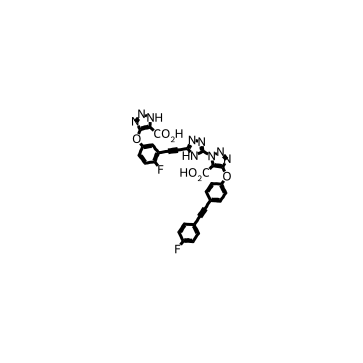 O=C(O)c1[nH]nnc1Oc1ccc(F)c(C#Cc2nnc(-n3nnc(Oc4ccc(C#Cc5ccc(F)cc5)cc4)c3C(=O)O)[nH]2)c1